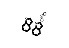 O=S=O.c1ccc2sccc2c1.c1ccc2sccc2c1